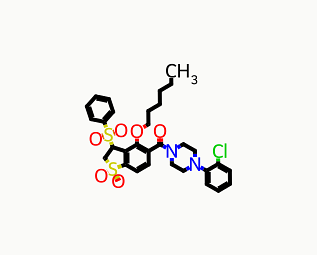 CCCCCCOc1c(C(=O)N2CCN(c3ccccc3Cl)CC2)ccc2c1C(S(=O)(=O)c1ccccc1)CS2(=O)=O